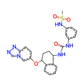 CS(=O)(=O)Nc1cccc(NC(=O)NC2CCC(Oc3ccc4nncn4c3)c3ccccc32)c1